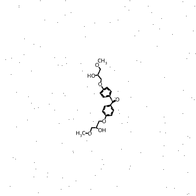 COCC(O)COc1ccc(C(=O)c2ccc(OCC(O)COC)cc2)cc1